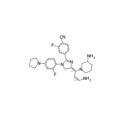 N#Cc1ccc(C2=N/C(=C(/C=C\N)N3CCCC(N)C3)CN2c2ccc(N3CCCC3)cc2F)cc1F